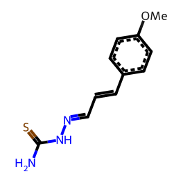 COc1ccc(C=CC=NNC(N)=S)cc1